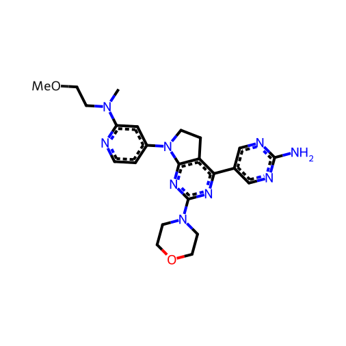 COCCN(C)c1cc(N2CCc3c(-c4cnc(N)nc4)nc(N4CCOCC4)nc32)ccn1